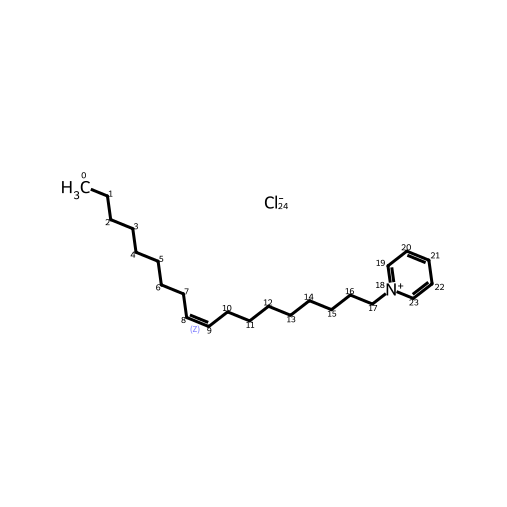 CCCCCCCC/C=C\CCCCCCCC[n+]1ccccc1.[Cl-]